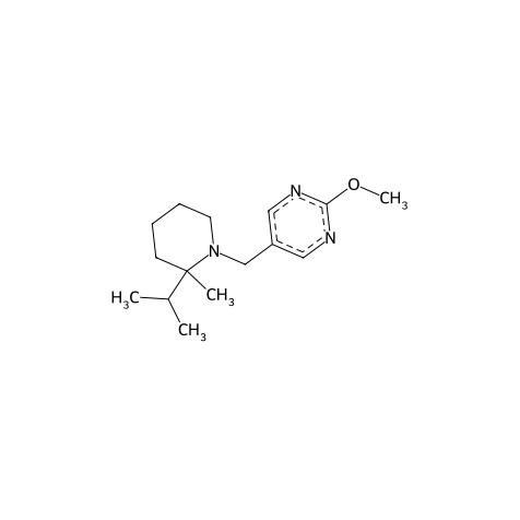 COc1ncc(CN2CCCCC2(C)C(C)C)cn1